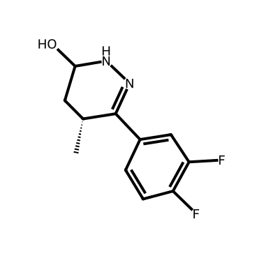 C[C@@H]1CC(O)NN=C1c1ccc(F)c(F)c1